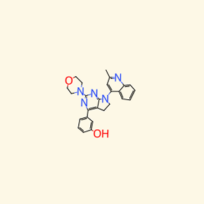 Cc1cc(N2CCc3c(-c4cccc(O)c4)nc(N4CCOCC4)nc32)c2ccccc2n1